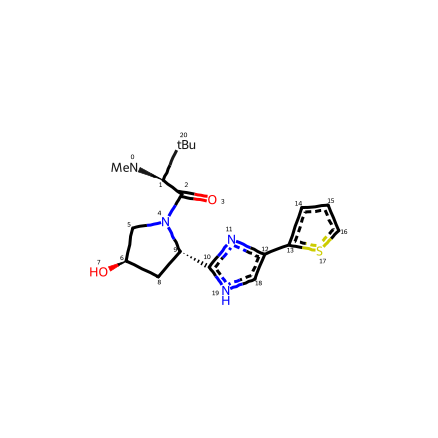 CN[C@H](C(=O)N1C[C@H](O)C[C@H]1c1nc(-c2cccs2)c[nH]1)C(C)(C)C